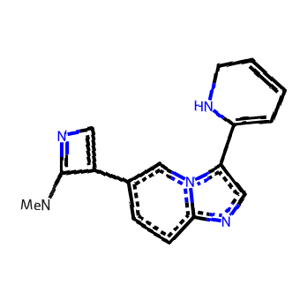 CNC1=NC=C1c1ccc2ncc(C3=CC=CCN3)n2c1